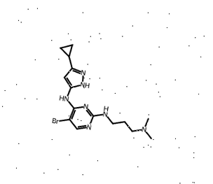 CN(C)CCCNc1ncc(Br)c(Nc2cc(C3CC3)n[nH]2)n1